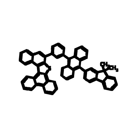 CC1(C)c2ccccc2-c2ccc(-c3c4ccccc4c(-c4cccc(-c5cc6ccccc6c6c5sc5c7ccccc7c7ccccc7c56)c4)c4ccccc34)cc21